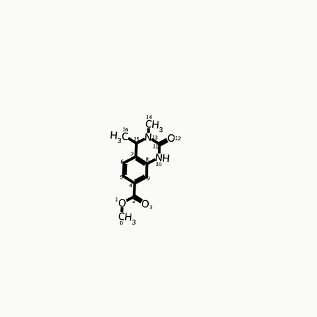 COC(=O)c1ccc2c(c1)NC(=O)N(C)C2C